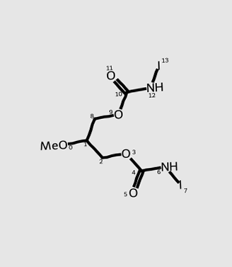 COC(COC(=O)NI)COC(=O)NI